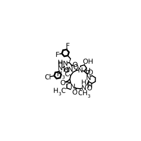 C[C@H]1CN2C(=O)[C@H](C)NC(=O)[C@@H]3CCCCN3C(=O)[C@@H]3C[C@@H](O)CN3C(=O)[C@@H](NC(=O)[C@H](Cc3cc(F)cc(F)c3)NC(=O)Nc3cccc(Cl)c3)[C@H](C)C3C(=O)[C@]32C1